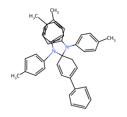 Cc1ccc(N(c2ccc(C)cc2)C2(N(c3ccc(C)cc3)c3ccc(C)cc3)C=CC(c3ccccc3)=CC2)cc1